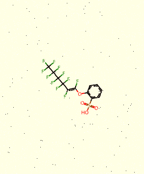 O=S(=O)(O)c1ccccc1OC(F)=C(F)C(F)(F)C(F)(F)C(F)(F)C(F)(F)F